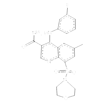 Cc1cc(S(=O)(=O)N2CCOCC2)c2ncc(C(N)=O)c(Nc3cccc(F)c3)c2c1